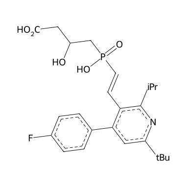 CC(C)c1nc(C(C)(C)C)cc(-c2ccc(F)cc2)c1C=CP(=O)(O)CC(O)CC(=O)O